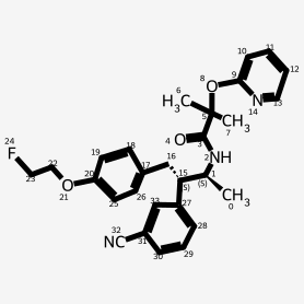 C[C@H](NC(=O)C(C)(C)Oc1ccccn1)[C@@H](Cc1ccc(OCCF)cc1)c1cccc(C#N)c1